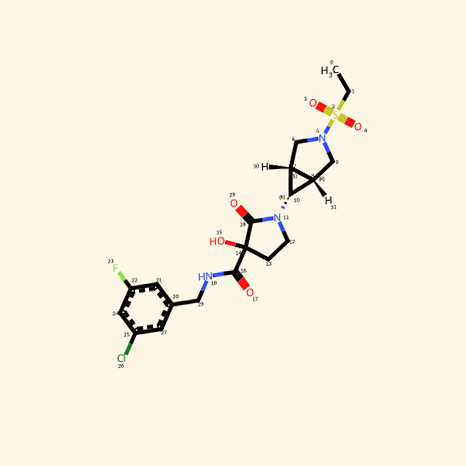 CCS(=O)(=O)N1C[C@@H]2[C@H](C1)[C@@H]2N1CCC(O)(C(=O)NCc2cc(F)cc(Cl)c2)C1=O